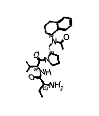 CC[C@H](N)C(=O)N[C@H](C(=O)N1CCC[C@H]1CN(C(C)=O)[C@@H]1CCCc2ccccc21)C(C)C